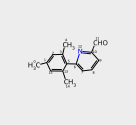 Cc1cc(C)c(-c2cccc(C=O)n2)c(C)c1